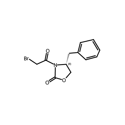 O=C(CBr)N1C(=O)OC[C@H]1Cc1ccccc1